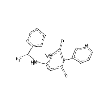 CC(Nc1cc(=O)n(-c2cccnc2)c(=O)[nH]1)c1ccccc1